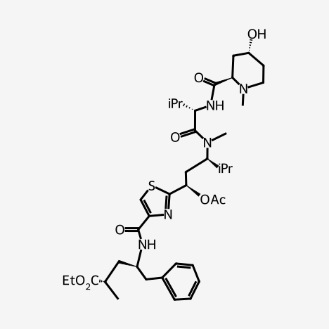 CCOC(=O)[C@@H](C)C[C@H](Cc1ccccc1)NC(=O)c1csc([C@@H](C[C@H](C(C)C)N(C)C(=O)[C@@H](NC(=O)[C@H]2C[C@H](O)CCN2C)C(C)C)OC(C)=O)n1